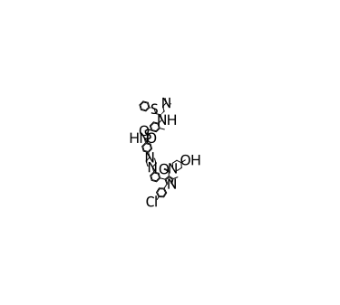 Cc1cc(S(=O)(=O)Nc2ccc(N3CCN(c4cccc(-c5c(C(=O)N6CCC(O)CC6)c(C)n(C)c5-c5ccc(Cl)cc5)c4)CC3)cc2)ccc1N[C@H](CCN(C)C)CSc1ccccc1